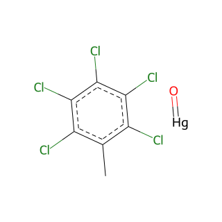 Cc1c(Cl)c(Cl)c(Cl)c(Cl)c1Cl.[O]=[Hg]